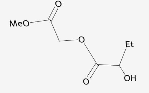 CCC(O)C(=O)OCC(=O)OC